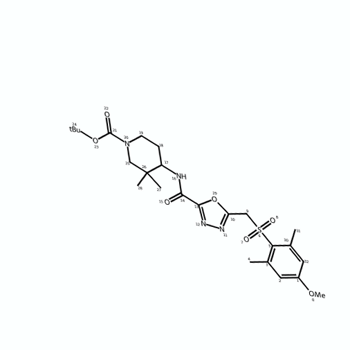 COc1cc(C)c(S(=O)(=O)Cc2nnc(C(=O)NC3CCN(C(=O)OC(C)(C)C)CC3(C)C)o2)c(C)c1